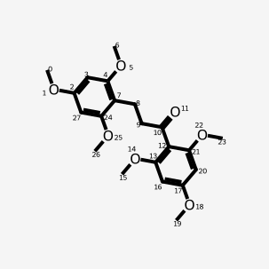 COc1cc(OC)c(CCC(=O)c2c(OC)cc(OC)cc2OC)c(OC)c1